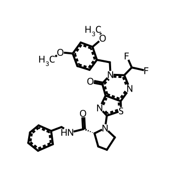 COc1ccc(Cn2c(C(F)F)nc3sc(N4CCC[C@@H]4C(=O)NCc4ccccc4)nc3c2=O)c(OC)c1